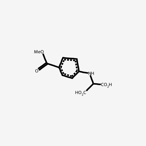 COC(=O)c1ccc(NC(C(=O)O)C(=O)O)cc1